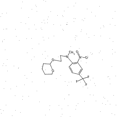 CN(CCOC1CCCCO1)c1ccc(C(F)(F)F)cc1[N+](=O)[O-]